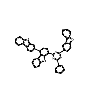 c1ccc(-c2nc(-c3ccc4oc5ccccc5c4c3)nc(-c3ccc(-c4ccc5c(c4)oc4ccccc45)c4c3oc3ccccc34)n2)cc1